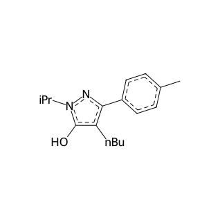 CCCCc1c(-c2ccc(C)cc2)nn(C(C)C)c1O